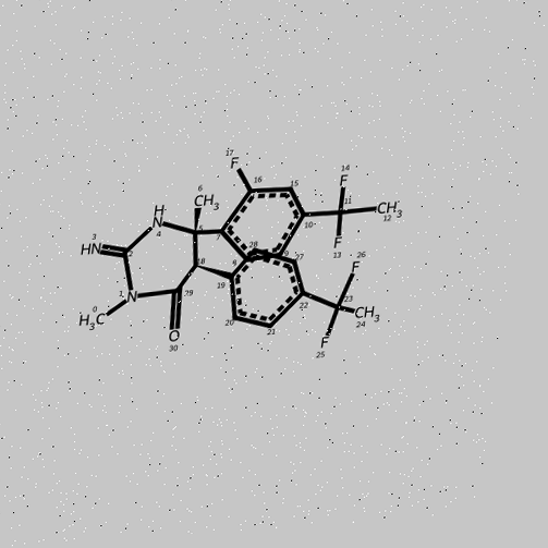 CN1C(=N)N[C@](C)(c2ccc(C(C)(F)F)cc2F)[C@@H](c2ccc(C(C)(F)F)cc2)C1=O